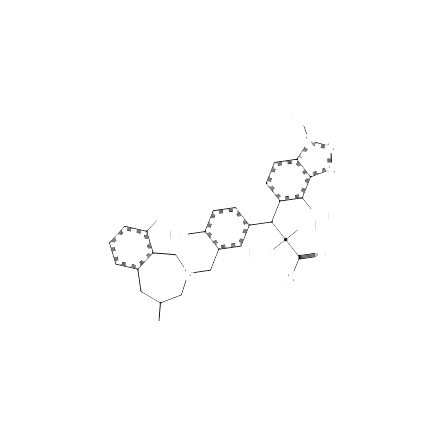 CCC1Cc2cccc(C(F)(F)F)c2CN(Cc2cc(C(c3ccc4c(nnn4CC)c3C)C(C)(C)C(N)=O)ccc2C)C1